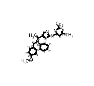 C=C(c1cnc(Nc2cc(C)nc(C)n2)s1)N(Cc1ccc(OC)cc1)c1ccccc1